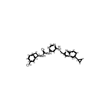 O=C(Nc1cc(NCc2cn3cc(C4CC4)ccc3n2)ncn1)NC1Cc2ccc(Cl)cc21